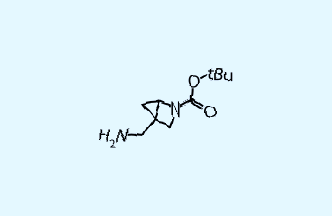 CC(C)(C)OC(=O)N1CC2(CN)CC12